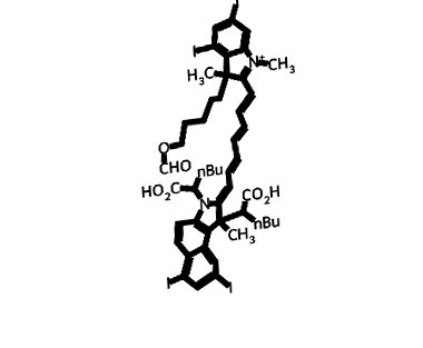 CCCCC(C(=O)O)N1\C(=C/C=C/C=C/C=C/C2=[N+](C)c3cc(I)cc(I)c3C2(C)CCCCCOC=O)C(C)(C(CCCC)C(=O)O)c2c1ccc1c(I)cc(I)cc21